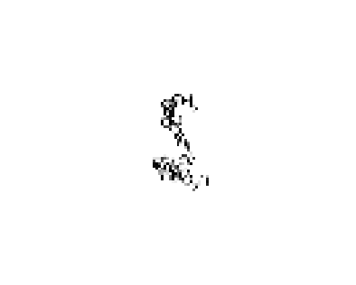 C=CC(=O)N1CCC(S(=O)(=O)c2ccc(N3CC(CN4CCC(C(C#N)(c5cccc(F)c5)[C@H]5CCC[C@@H]5NC(=O)O)CC4)C3)cc2)C1